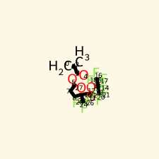 C=C(C)C(=O)OC1CCC(C(=O)OC(F)(C(F)(F)F)C(F)(F)F)(C(F)(F)F)O1